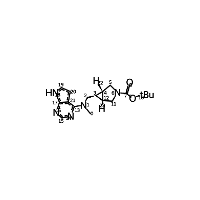 CN(C[C@H]1[C@@H]2CN(C(=O)OC(C)(C)C)C[C@@H]21)c1ncnc2[nH]ccc12